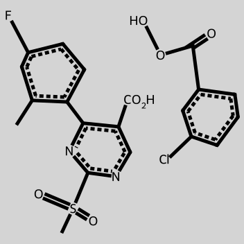 Cc1cc(F)ccc1-c1nc(S(C)(=O)=O)ncc1C(=O)O.O=C(OO)c1cccc(Cl)c1